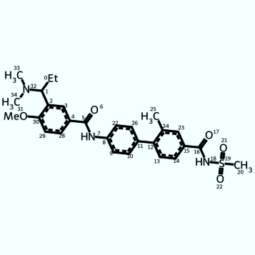 CCC(c1cc(C(=O)Nc2ccc(-c3ccc(C(=O)NS(C)(=O)=O)cc3C)cc2)ccc1OC)N(C)C